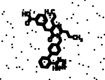 CCCc1nc(CCC)n(Cc2ccc(-c3ccccc3-c3nnn[nH]3)cc2)c(=O)c1Cc1cccc(C(=O)O)c1